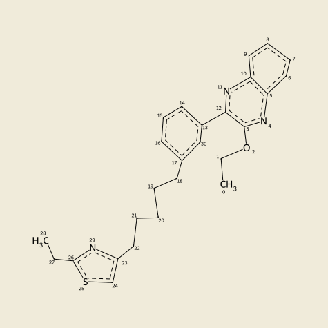 CCOc1nc2ccccc2nc1-c1cccc(CCCCCc2csc(CC)n2)c1